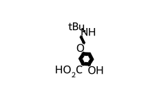 CC(C)(C)NCCOc1ccc(O)c(C(=O)O)c1